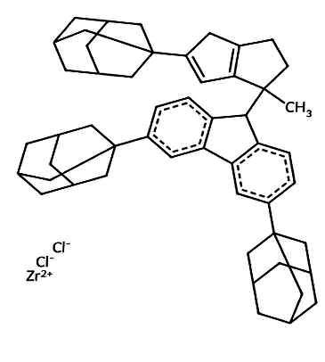 CC1(C2c3ccc(C45CC6CC(CC(C6)C4)C5)cc3-c3cc(C45CC6CC(CC(C6)C4)C5)ccc32)CCC2=C1C=C(C13CC4CC(CC(C4)C1)C3)C2.[Cl-].[Cl-].[Zr+2]